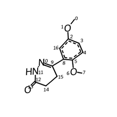 COc1ccc(OC)c(C2=NNC(=O)CC2)c1